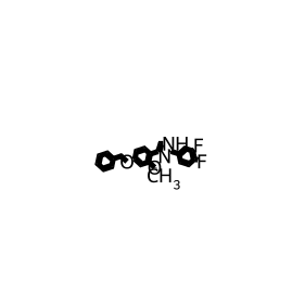 COc1cc(OCc2ccccc2)ccc1-c1c[nH]c(-c2ccc(F)c(F)c2)n1